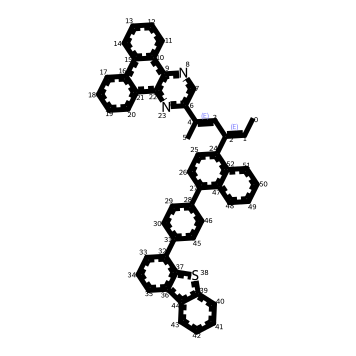 C/C=C(\C=C(/C)c1cnc2c3ccccc3c3ccccc3c2n1)c1ccc(-c2ccc(-c3cccc4c3sc3ccccc34)cc2)c2ccccc12